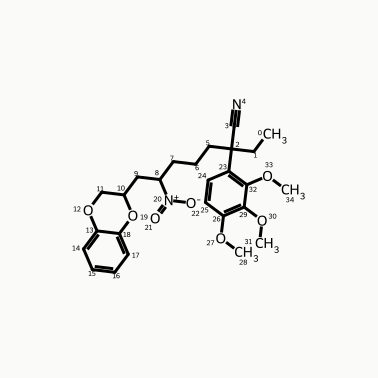 CCC(C#N)(CCCC(CC1COc2ccccc2O1)[N+](=O)[O-])c1ccc(OC)c(OC)c1OC